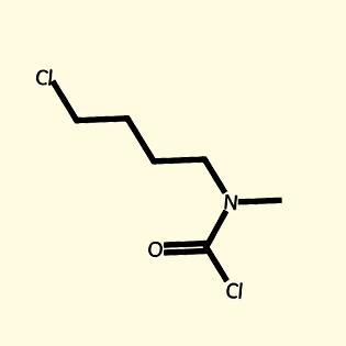 CN(CCCCCl)C(=O)Cl